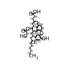 CCCCCCCCCCCCCCCCCC(=O)O.O=C(O)CO.Oc1cc(Cl)ccc1Oc1ccc(Cl)cc1Cl